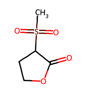 CS(=O)(=O)C1CCOC1=O